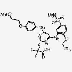 CNS(=O)(=O)c1ccc(OCC(F)(F)F)c(Nc2cc(Nc3ccc(OCCOC)cc3)ncn2)c1.O=C(O)C(F)(F)F